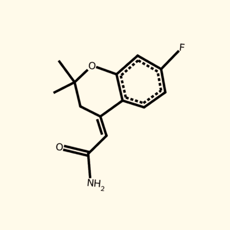 CC1(C)C/C(=C\C(N)=O)c2ccc(F)cc2O1